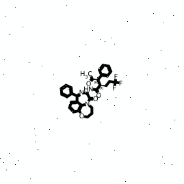 CC(=O)[C@@H](c1ccccc1)[C@@H](CCC(F)(F)F)C(=O)N[C@H]1N=C(c2ccccc2)c2cccc3c2N(CCCO3)C1=O